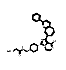 COCC(=O)NC[C@H]1CC[C@H](c2nc(C3=Cc4nc(-c5ccccc5)ccc4CC=C3)c3c(N)nccn32)CC1